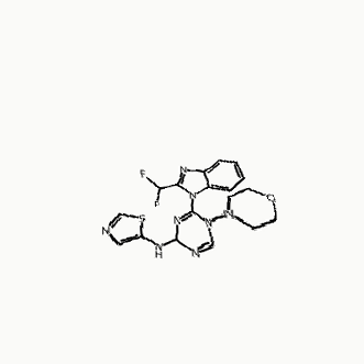 FC(F)c1nc2ccccc2n1C1=NC(Nc2cncs2)N=CN1N1CCOCC1